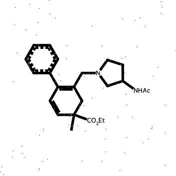 CCOC(=O)C1(C)C=CC(c2ccccc2)=C(CN2CCC(NC(C)=O)C2)C1